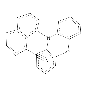 N#Cc1cccc2cccc(N3c4ccccc4Oc4ccccc43)c12